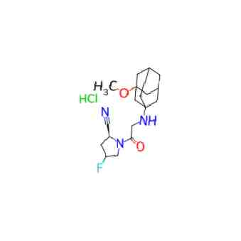 COC12CC3CC(CC(NCC(=O)N4C[C@@H](F)C[C@H]4C#N)(C3)C1)C2.Cl